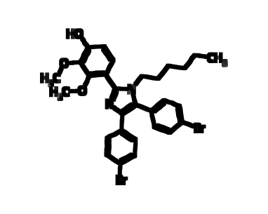 CCCCCCn1c(-c2ccc(O)c(OC)c2OC)nc(-c2ccc(Br)cc2)c1-c1ccc(Br)cc1